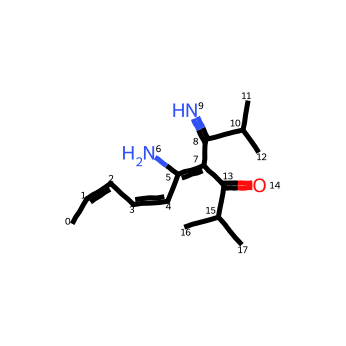 C\C=C/C=C\C(N)=C(\C(=N)C(C)C)C(=O)C(C)C